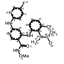 CONC(=O)c1cnc(Nc2ccc(F)cn2)cc1Nc1cccc(C(F)(F)F)c1N(C)[S+](C)[O-]